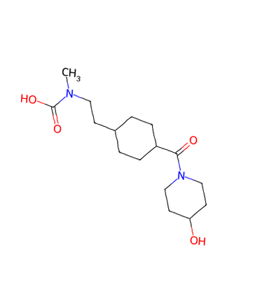 CN(CCC1CCC(C(=O)N2CCC(O)CC2)CC1)C(=O)O